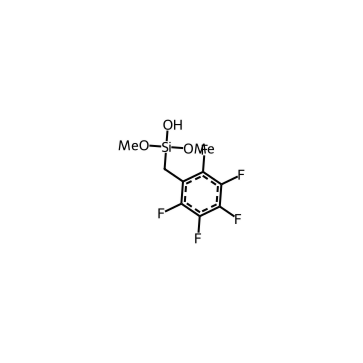 CO[Si](O)(Cc1c(F)c(F)c(F)c(F)c1F)OC